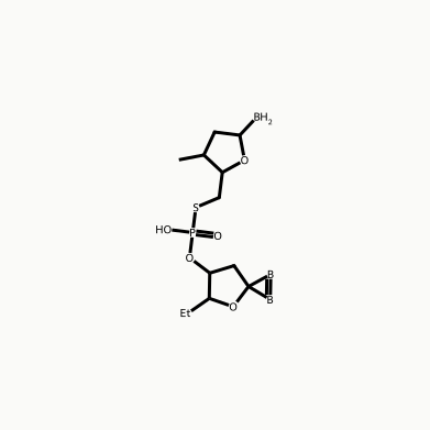 BC1CC(C)C(CSP(=O)(O)OC2CC3(B=B3)OC2CC)O1